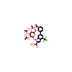 CC(=O)OC[C@H]1O[C@@H](On2c(C(=O)O)cc3c(C(F)(F)F)cc(-c4ccccc4)cc32)[C@H](OC(C)=O)[C@@H](OC(C)=O)[C@@H]1OC(C)=O